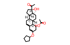 CC(=O)O.CC(=O)[C@@]1(O)CC[C@H]2[C@@H]3CC=C4C=C(OC5CCCC5)CC[C@]4(C)[C@H]3CC[C@@]21C